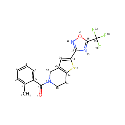 Cc1ccccc1C(=O)N1CCc2sc(-c3noc(C(F)(F)F)n3)cc2C1